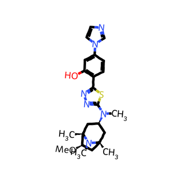 CO[C@@H]1C[C@@]2(C)C[C@H](N(C)c3nnc(-c4ccc(-n5ccnc5)cc4O)s3)C[C@]1(C)N2C